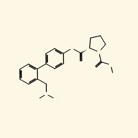 CN(C)Cc1ccccc1-c1ccc(NC(=O)[C@H]2CCCN2C(=O)OC(C)(C)C)cc1